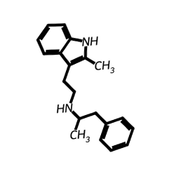 Cc1[nH]c2ccccc2c1CCNC(C)Cc1ccccc1